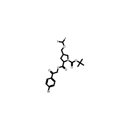 CC(C)(C)OC(=O)N1CC(COC(F)F)CC1C(=O)OCC(=O)c1ccc(Br)cc1